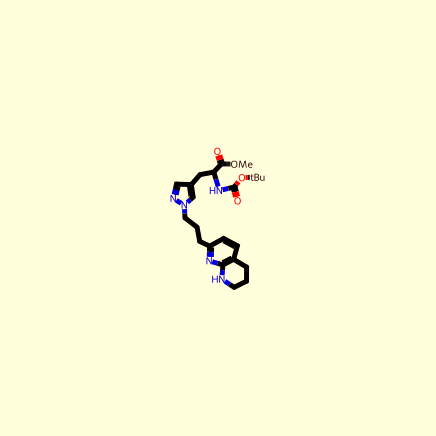 COC(=O)C(Cc1cnn(CCCc2ccc3c(n2)NCCC3)c1)NC(=O)OC(C)(C)C